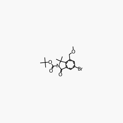 COCc1cc(Br)cc2c1C(C)(C)N(C(=O)OC(C)(C)C)C2=O